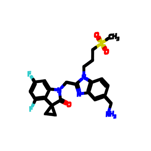 CS(=O)(=O)CCCn1c(CN2C(=O)C3(CC3)c3c(F)cc(F)cc32)nc2cc(CN)ccc21